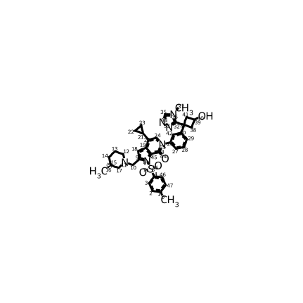 Cc1ccc(S(=O)(=O)n2c(CN3CCC[C@H](C)C3)cc3c(C4CC4)cn(-c4cccc(C5(c6nncn6C)CC(O)C5)c4)c(=O)c32)cc1